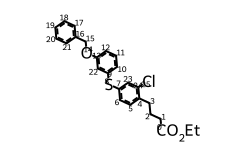 CCOC(=O)CCCc1ccc(Sc2cccc(OCc3ccccc3)c2)cc1Cl